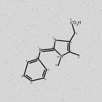 Cc1c(CC(=O)O)sc(=Nc2ccccc2)n1C